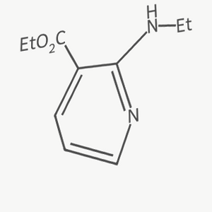 CCNc1ncccc1C(=O)OCC